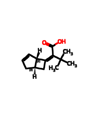 CC(C)(C)C(C(=O)O)=C1C[C@H]2CC=C[C@H]12